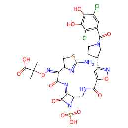 CC(C)(O/N=C(\C(=O)/N=C1\C(=O)N(S(=O)(=O)O)[C@H]1CNC(=O)c1cc([C@@H]2CCN(C(=O)c3cc(Cl)c(O)c(O)c3Cl)C2)no1)C1CSC(N)=N1)C(=O)O